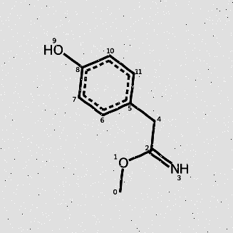 COC(=N)Cc1ccc(O)cc1